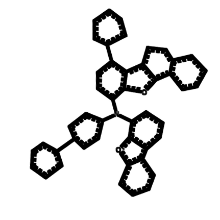 c1ccc(-c2ccc(N(c3cccc4c3oc3ccccc34)c3ccc(-c4ccccc4)c4c3oc3c5ccccc5ccc34)cc2)cc1